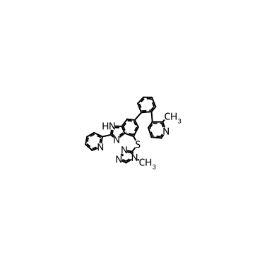 Cc1ncccc1-c1ccccc1-c1cc(Sc2nncn2C)c2nc(-c3ccccn3)[nH]c2c1